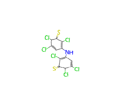 S=C1C(Cl)=C(NC2=C(Cl)C(=S)C(Cl)C(Cl)=C2)C=C(Cl)C1Cl